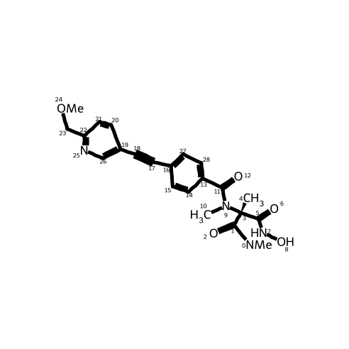 CNC(=O)[C@@](C)(C(=O)NO)N(C)C(=O)c1ccc(C#Cc2ccc(COC)nc2)cc1